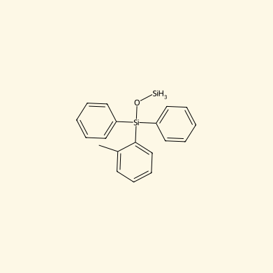 Cc1ccccc1[Si](O[SiH3])(c1ccccc1)c1ccccc1